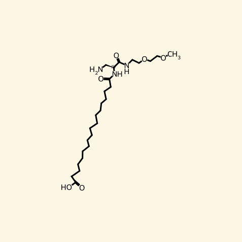 COCCOCCNC(=O)[C@H](CN)NC(=O)CCCCCCCCCCCCCCCCC(=O)O